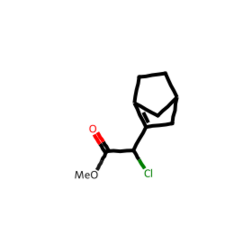 COC(=O)C(Cl)C1=C2CCC(C2)C1